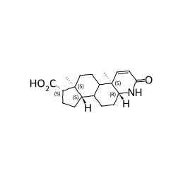 C[C@]12CCC3C(CC[C@H]4NC(=O)C=C[C@]34C)[C@@H]1CC[C@@H]2C(=O)O